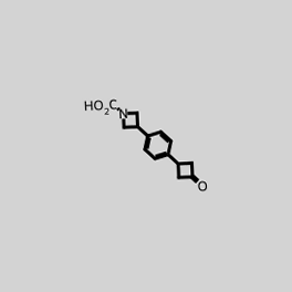 O=C1CC(c2ccc(C3CN(C(=O)O)C3)cc2)C1